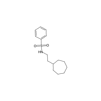 O=S(=O)(NCCC1CCCCCC1)c1ccccc1